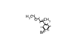 CCOCC=C(C)c1cccc(Br)c1